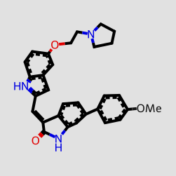 COc1ccc(-c2ccc3c(c2)NC(=O)C3=Cc2cc3cc(OCCN4CCCC4)ccc3[nH]2)cc1